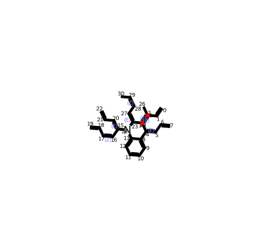 C=C/C=C\C(=C/C=C)c1ccccc1N(C(/C=C\C=C)=C/C=C)C(/C=C\C)=C/C=C\C